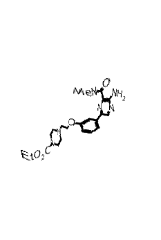 CCOC(=O)N1CCN(CCOc2cccc(-c3cnc(N)c(C(=O)NC)n3)c2)CC1